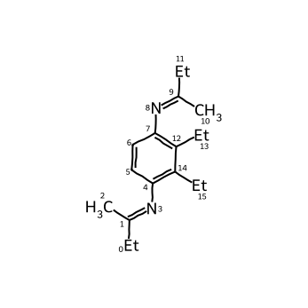 CCC(C)=Nc1ccc(N=C(C)CC)c(CC)c1CC